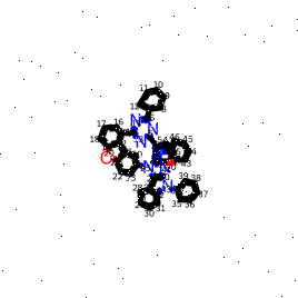 c1ccc(-c2nc(-c3ccccc3)nc(-c3cccc4oc5ccc(-n6c7c8ccccc8n(-c8ccccc8)c7n7c8ccccc8nc67)cc5c34)n2)cc1